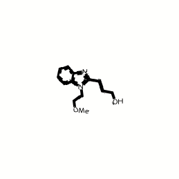 COCCn1c(CCCO)nc2ccccc21